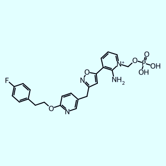 Nc1c(-c2cc(Cc3ccc(OCCc4ccc(F)cc4)nc3)no2)ccc[n+]1COP(=O)(O)O